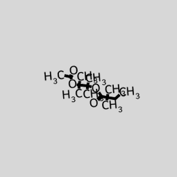 CCC(C)(C)C(=O)OC(C)(C)C(C)(C)OC(C)=O